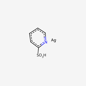 O=S(=O)(O)c1ccccn1.[Ag]